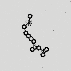 c1ccc(-c2nnc(-c3cccc(-c4ccc5cc6c(cc5c4)Cc4ccc(-n5c7ccccc7c7cc(-n8c9ccccc9c9ccccc98)ccc75)cc4C6)c3)o2)cc1